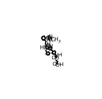 CN1N=CN(c2ccccc2CCC(=O)N[C@@H](Cc2ccccc2)c2cc(-c3ccc(NC(=O)OCCC(=O)O)cc3)cnn2)N1